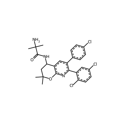 CC1(C)CC(NC(=O)C(C)(C)N)c2cc(-c3ccc(Cl)cc3)c(-c3cc(Cl)ccc3Cl)nc2O1